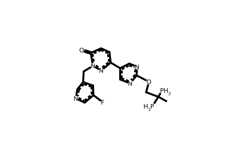 CC(P)(P)COc1ncc(-c2ccc(=O)n(Cc3cncc(F)c3)n2)cn1